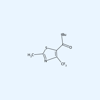 Cc1nc(C(F)(F)F)c(C(=O)C(C)(C)C)s1